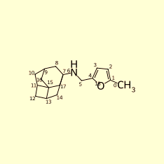 Cc1ccc(CNC23CC4CC5CC(C2)C5(C4)C3)o1